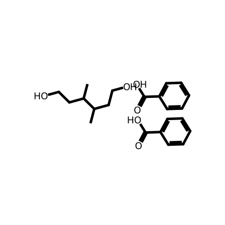 CC(CCO)C(C)CCO.O=C(O)c1ccccc1.O=C(O)c1ccccc1